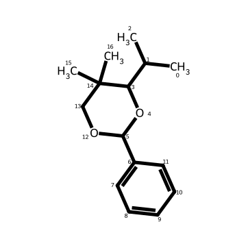 CC(C)C1OC(c2ccccc2)OCC1(C)C